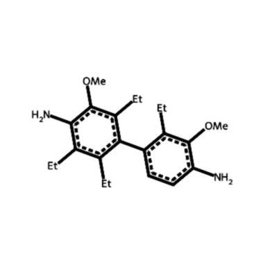 CCc1c(N)c(OC)c(CC)c(-c2ccc(N)c(OC)c2CC)c1CC